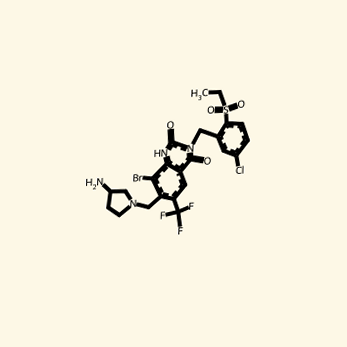 CCS(=O)(=O)c1ccc(Cl)cc1Cn1c(=O)[nH]c2c(Br)c(CN3CCC(N)C3)c(C(F)(F)F)cc2c1=O